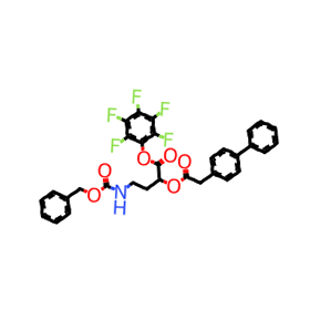 O=C(Cc1ccc(-c2ccccc2)cc1)OC(CCNC(=O)OCc1ccccc1)C(=O)Oc1c(F)c(F)c(F)c(F)c1F